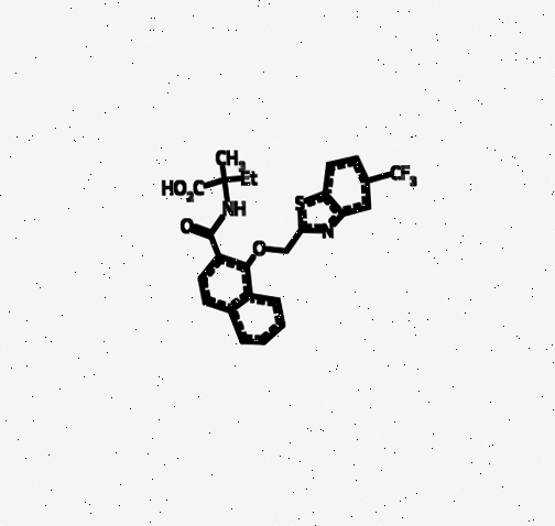 CCC(C)(NC(=O)c1ccc2ccccc2c1OCc1nc2cc(C(F)(F)F)ccc2s1)C(=O)O